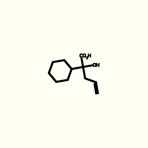 C=CCC(O)(C(=O)O)C1CCCCC1